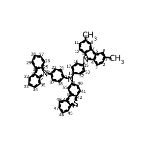 Cc1ccc2c(c1)c1cc(C)ccc1n2-c1ccc(N(c2ccc(-n3c4ccccc4c4ccccc43)cc2)c2ccc3sc4ccccc4c3c2)cc1